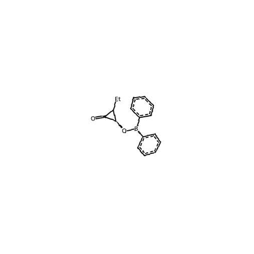 CCC1C(=O)[C@@H]1OB(c1ccccc1)c1ccccc1